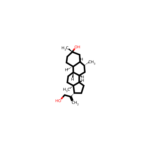 C=C(CO)[C@H]1CC[C@H]2[C@@H]3C[C@@H](C)[C@H]4C[C@@](C)(O)CC[C@@H]4[C@H]3CC[C@]12C